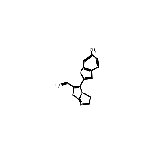 C=CC1=C(c2cc3ccc(C)cc3s2)N2CCN=C2S1